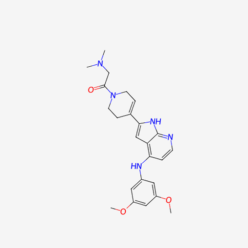 COc1cc(Nc2ccnc3[nH]c(C4=CCN(C(=O)CN(C)C)CC4)cc23)cc(OC)c1